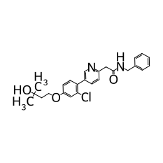 CC(C)(O)CCOc1ccc(-c2ccc(CC(=O)NCc3ccccc3)nc2)c(Cl)c1